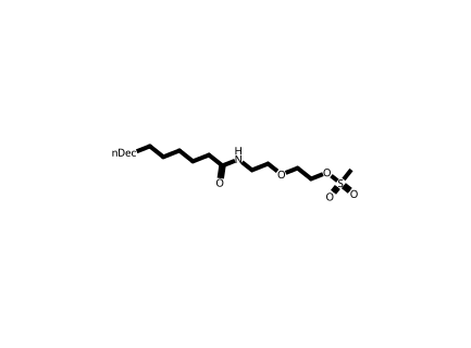 CCCCCCCCCCCCCCCC(=O)NCCOCCOS(C)(=O)=O